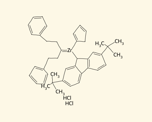 CC(C)(C)c1ccc2c(c1)[CH]([Zr]([C]1=CC=CC1)=[C](CCc1ccccc1)CCc1ccccc1)c1cc(C(C)(C)C)ccc1-2.Cl.Cl